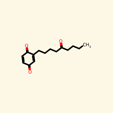 CCCCC(=O)CCCCC1=CC(=O)C=CC1=O